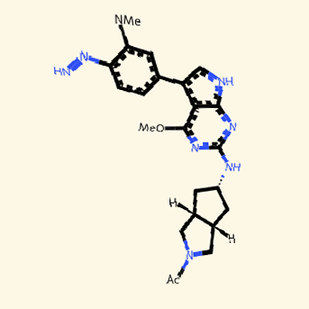 CNc1cc(-c2c[nH]c3nc(N[C@@H]4C[C@@H]5CN(C(C)=O)C[C@@H]5C4)nc(OC)c23)ccc1N=N